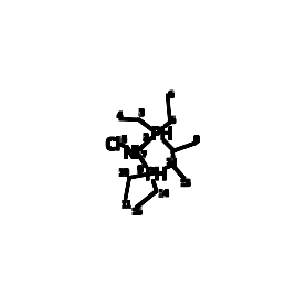 CC[PH](CC)(CC)[Ni]([Cl])[PH](CC)(CC)CC